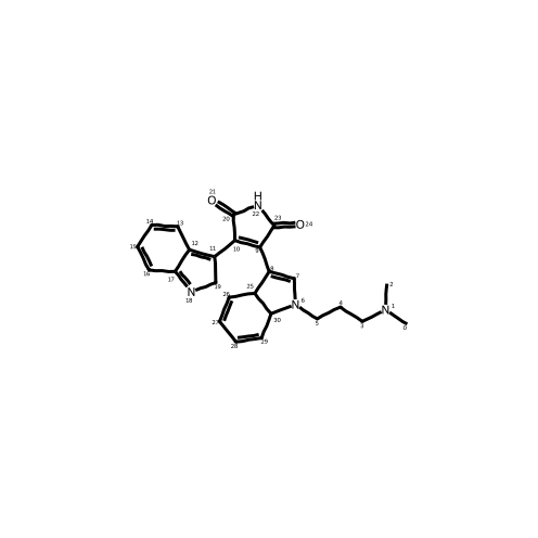 CN(C)CCCN1C=C(C2=C(C3=c4ccccc4=NC3)C(=O)NC2=O)C2C=CC=CC21